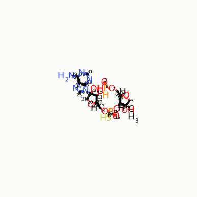 C[C@]1(O)CO[C@@H]2CO[PH](=O)OC3[C@@H](CO[P@](=O)(S)O[C@@H]21)OCC3(O)n1cnc2c(N)ncnc21